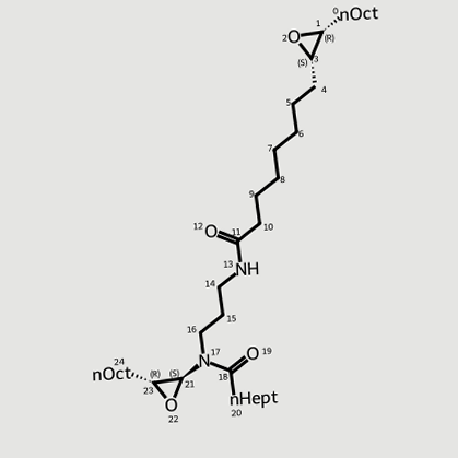 CCCCCCCC[C@H]1O[C@H]1CCCCCCCC(=O)NCCCN(C(=O)CCCCCCC)[C@H]1O[C@@H]1CCCCCCCC